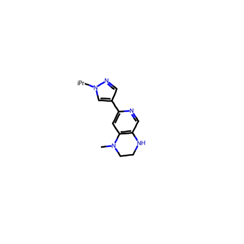 CC(C)n1cc(-c2cc3c(cn2)NCCN3C)cn1